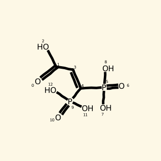 O=C(O)C=C(P(=O)(O)O)P(=O)(O)O